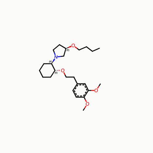 CCCCO[C@@H]1CCN([C@@H]2CCCC[C@H]2OCCc2ccc(OC)c(OC)c2)C1